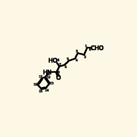 O=CCCCCCCC(O)C(=O)Nc1ccccc1